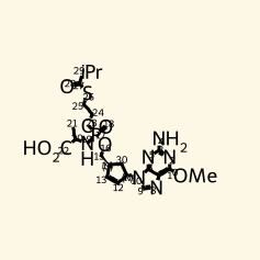 COc1nc(N)nc2c1ncn2[C@H]1C=C[C@@H](COP(=O)(NC(C)C(=O)O)OCCSC(=O)C(C)C)C1